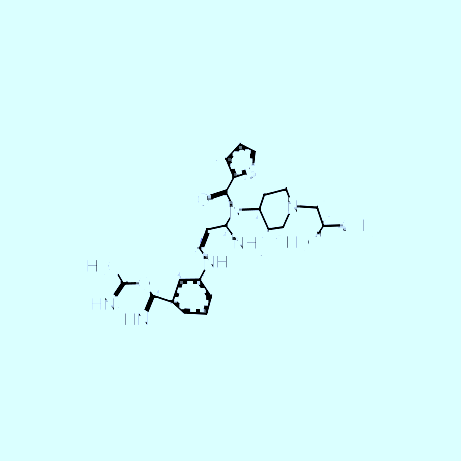 CC(=N)OC(=N)c1cccc(N/C=C\C(N)N(C(=O)c2cccs2)C2CCN(CC(C)C)CC2)c1